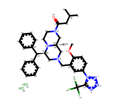 COc1ccc(-n2nnnc2C(F)(F)F)cc1CN1C[C@@H]2CN(C(=O)CC(C)C)CCN2[C@H](C(c2ccccc2)c2ccccc2)C1.Cl.Cl